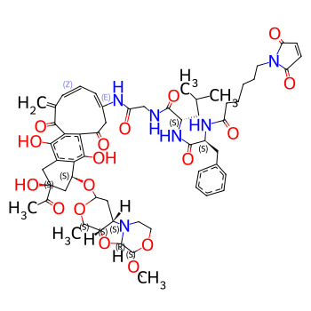 C=C1/C=C\C=C(\NC(=O)CNC(=O)[C@H](CC(C)C)NC(=O)[C@H](Cc2ccccc2)NC(=O)CCCCCN2C(=O)C=CC2=O)CC(=O)c2c(O)c3c(c(O)c2C1=O)C[C@@](O)(C(C)=O)C[C@@H]3OC1C[C@H]2[C@H](O[C@@H]3[C@@H](OC)OCCN32)[C@H](C)O1